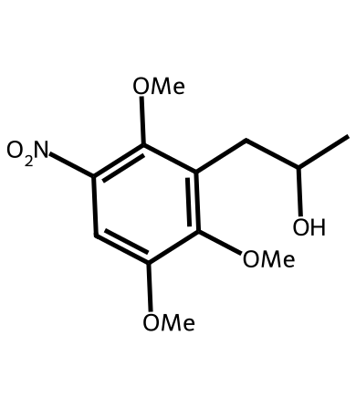 COc1cc([N+](=O)[O-])c(OC)c(CC(C)O)c1OC